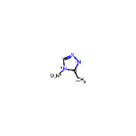 CC1NN=CN1[N+](=O)[O-]